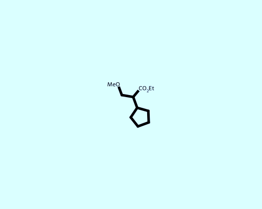 CCOC(=O)C(COC)C1CCCC1